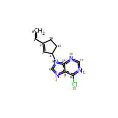 C=CC1=CC(n2cnc3c(Cl)ncnc32)CC1